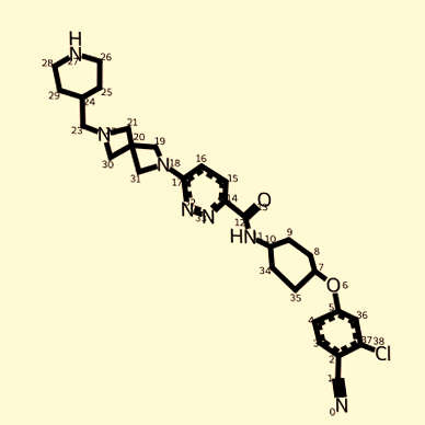 N#Cc1ccc(OC2CCC(NC(=O)c3ccc(N4CC5(CN(CC6CCNCC6)C5)C4)nn3)CC2)cc1Cl